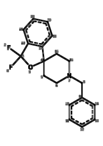 FC1(F)OC2(CCN(Cc3ccccc3)CC2)c2ccccc21